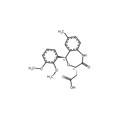 COc1cccc([C@@H]2O[C@@H](CC(=O)O)C(=O)Nc3ccc(C)cc32)c1OC